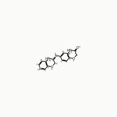 O=C1COc2ccc(/N=C3\COc4cnccc4N3)cc2N1